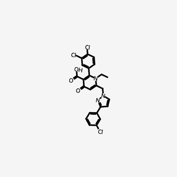 CCn1c(Cn2ccc(-c3cccc(Cl)c3)n2)cc(=O)c(C(=O)O)c1-c1ccc(Cl)c(Cl)c1